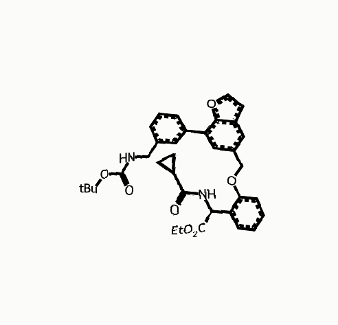 CCOC(=O)[C@@H](NC(=O)C1CC1)c1ccccc1OCc1cc(-c2cccc(CNC(=O)OC(C)(C)C)c2)c2occc2c1